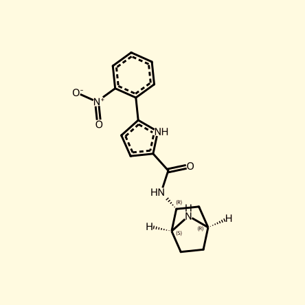 O=C(N[C@@H]1C[C@H]2CC[C@@H]1N2)c1ccc(-c2ccccc2[N+](=O)[O-])[nH]1